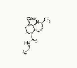 COc1ccc(C(=S)NCC(C)=O)c2ccc(C(F)(F)F)nc12